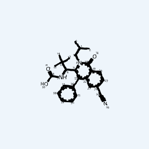 CC(C)Cn1c(C(NC(=O)O)C(C)(C)C)c(-c2ccccc2)c2cc(C#N)ccc2c1=O